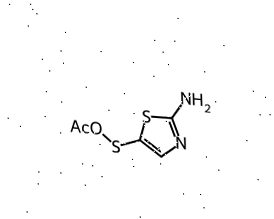 CC(=O)OSc1cnc(N)s1